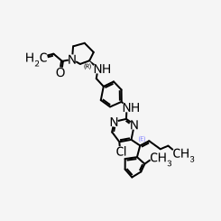 C=CC(=O)N1CCC[C@@H](NCc2ccc(Nc3ncc(Cl)c(/C(=C/CCC)c4ccccc4C)n3)cc2)C1